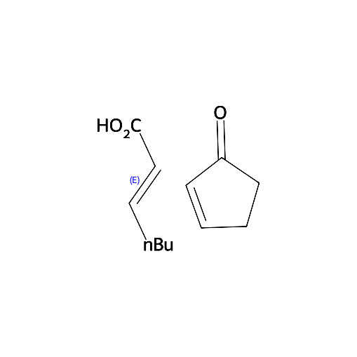 CCCC/C=C/C(=O)O.O=C1C=CCC1